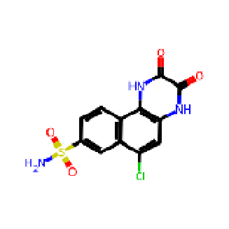 NS(=O)(=O)c1ccc2c(c1)c(Cl)cc1[nH]c(=O)c(=O)[nH]c12